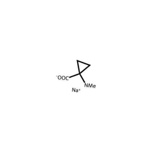 CNC1(C(=O)[O-])CC1.[Na+]